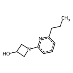 CCCc1cccc(N2CC(O)C2)n1